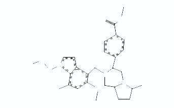 COC(=O)c1ccc(C2CN3C(C)CCC3CN2Cc2c(OC)cc(C)c3c2ccn3SOI)cc1